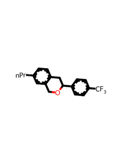 CCCc1ccc2c(c1)COC(c1ccc(C(F)(F)F)cc1)C2